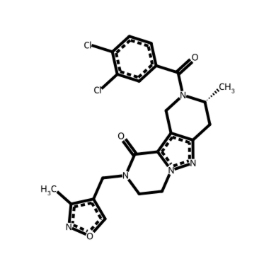 Cc1nocc1CN1CCn2nc3c(c2C1=O)CN(C(=O)c1ccc(Cl)c(Cl)c1)[C@H](C)C3